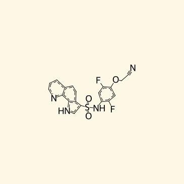 N#CCOc1cc(F)c(NS(=O)(=O)c2c[nH]c3c2ccc2cccnc23)cc1F